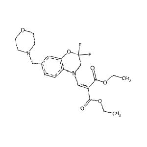 CCOC(=O)C(=CN1CC(F)(F)Oc2cc(CN3CCOCC3)ccc21)C(=O)OCC